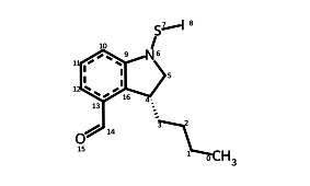 CCCC[C@H]1CN(SI)c2cccc(C=O)c21